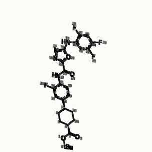 CC(C)(C)OC(=O)[C@H]1CC[C@@H](c2ccc(NC(=O)c3nnc(Nc4cc(F)c(F)cc4F)o3)c(F)c2)CC1